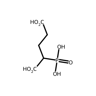 O=C(O)CCC(C(=O)O)P(=O)(O)O